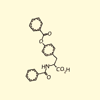 O=C(NC(Cc1ccc(OC(=O)c2ccccc2)cc1)C(=O)O)c1ccccc1